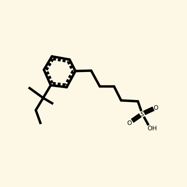 CCC(C)(C)c1cccc(CCCCCS(=O)(=O)O)c1